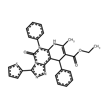 CCOC(=O)C1=C(C)Nc2c(c3nnc(-c4cccs4)n3c(=O)n2-c2ccccc2)C1c1ccccc1